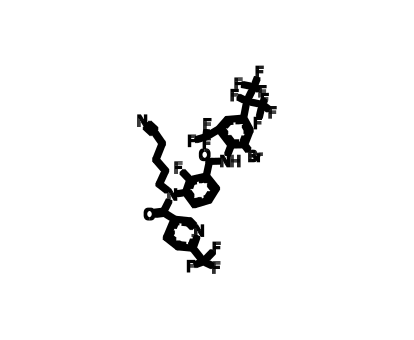 N#CCCCCN(C(=O)c1ccc(C(F)(F)F)nc1)c1cccc(C(=O)Nc2c(Br)cc(C(F)(C(F)(F)F)C(F)(F)F)cc2C(F)(F)F)c1F